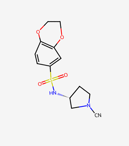 N#CN1CC[C@@H](NS(=O)(=O)c2ccc3c(c2)OCCO3)C1